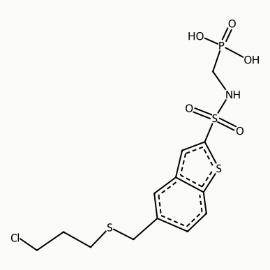 O=P(O)(O)CNS(=O)(=O)c1cc2cc(CSCCCCl)ccc2s1